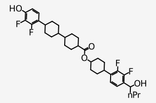 CCCC(O)c1ccc(C2CCC(OC(=O)C3CCC(C4CCC(c5ccc(O)c(F)c5F)CC4)CC3)CC2)c(F)c1F